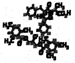 C[C@H](NC(=O)[C@H](Cc1ccccc1)NC(=O)c1ccccc1)C(=O)O.Cc1cc(C)c(C(=O)OCC(=O)COC(=O)c2c(C)cc(C)cc2C)c(C)c1